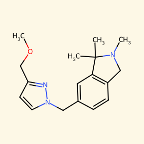 COCc1ccn(Cc2ccc3c(c2)C(C)(C)N(C)C3)n1